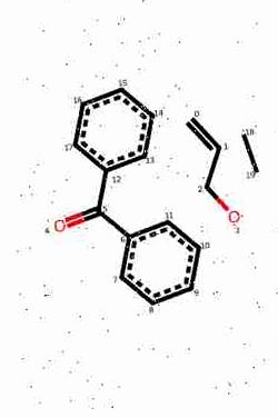 C=CC[O].O=C(c1ccccc1)c1ccccc1.[CH2]C